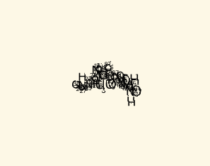 COc1nc(-c2cccc(-c3ccnc(-c4cc(Cl)c5c(c4)CCN(C[C@@H]4CCC(=O)N4)C5)c3Cl)c2Cl)ccc1CN(C[C@@H]1CCC(=O)N1)C(=O)O